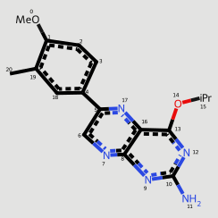 COc1ccc(-c2cnc3nc(N)nc(OC(C)C)c3n2)cc1C